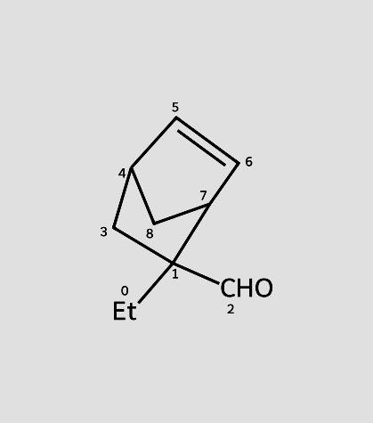 CCC1(C=O)CC2C=CC1C2